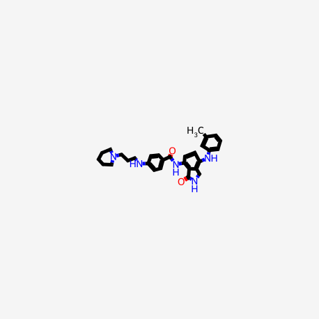 Cc1cccc(Nc2ccc(NC(=O)c3ccc(NCCCN4CCCCC4)cc3)c3c2CNC3=O)c1